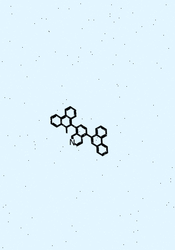 CC1C(c2ccc(-c3cc4ccccc4c4ccccc34)c3ccncc23)=c2ccccc2=C2C=CC=CC21